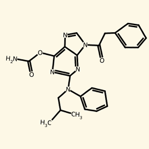 CC(C)CN(c1ccccc1)c1nc(OC(N)=O)c2ncn(C(=O)Cc3ccccc3)c2n1